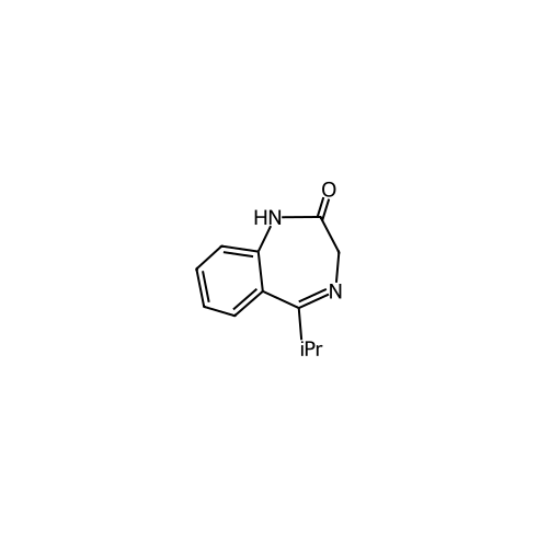 CC(C)C1=NCC(=O)Nc2ccccc21